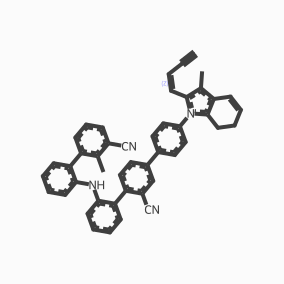 C#C/C=C\c1c(C)c2c(n1-c1ccc(-c3ccc(-c4ccccc4Nc4ccccc4-c4cccc(C#N)c4C)c(C#N)c3)cc1)CCC=C2